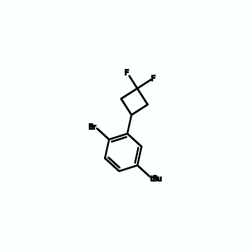 CC(C)(C)c1ccc(Br)c(C2CC(F)(F)C2)c1